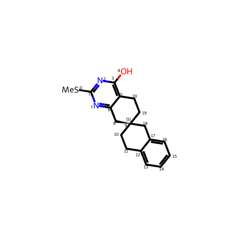 CSc1nc(O)c2c(n1)C[C@@]1(CCc3ccccc3C1)CC2